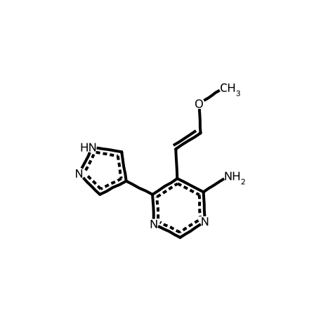 CO/C=C/c1c(N)ncnc1-c1cn[nH]c1